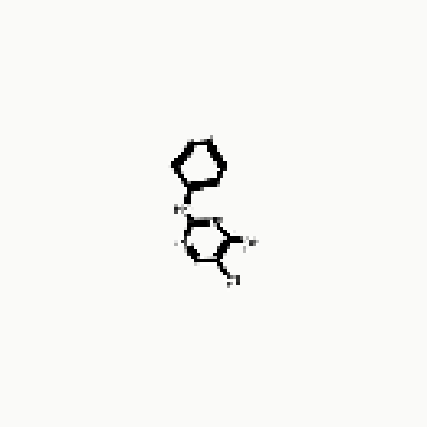 N#Cc1cnc(Nc2ccccc2)nc1O